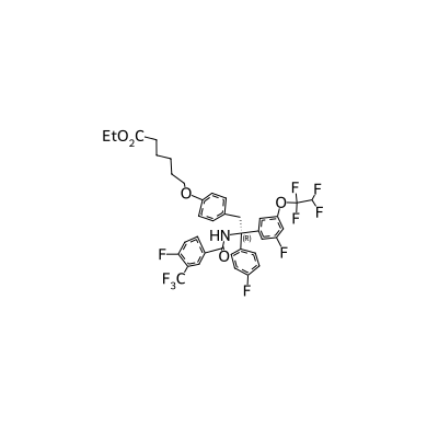 CCOC(=O)CCCCCOc1ccc(C[C@@](NC(=O)c2ccc(F)c(C(F)(F)F)c2)(c2ccc(F)cc2)c2cc(F)cc(OC(F)(F)C(F)F)c2)cc1